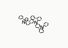 C1=CC2C(=CC=C3N=C(c4ccccc4)OC32)C=C1N(c1ccc2c3ccccc3n(-c3ccccc3)c2c1)c1ccccc1-c1ccccc1